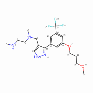 CNCCN(C)Cc1c[nH]nc1-c1cc(OCCCOC)cc(C(F)(F)F)c1